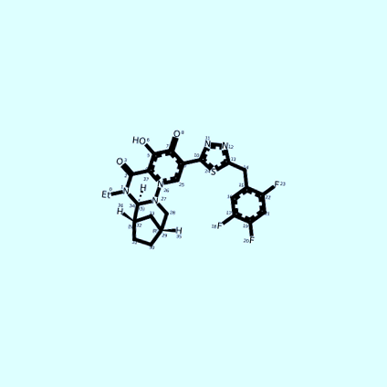 CCN1C(=O)c2c(O)c(=O)c(-c3nnc(Cc4cc(F)c(F)cc4F)s3)cn2N2C[C@@H]3CC[C@@H](C3)[C@@H]12